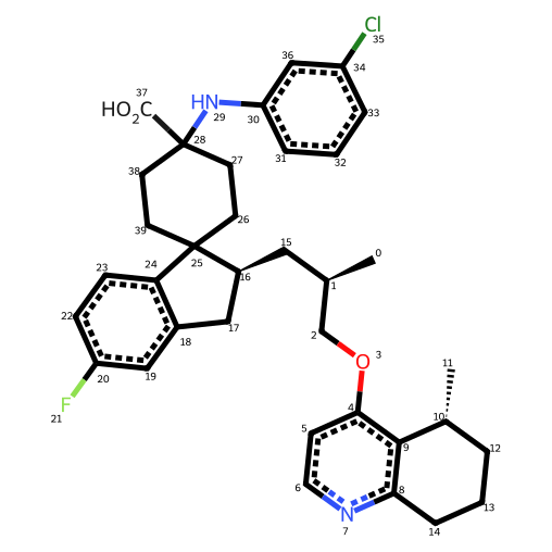 C[C@@H](COc1ccnc2c1[C@H](C)CCC2)C[C@H]1Cc2cc(F)ccc2C12CCC(Nc1cccc(Cl)c1)(C(=O)O)CC2